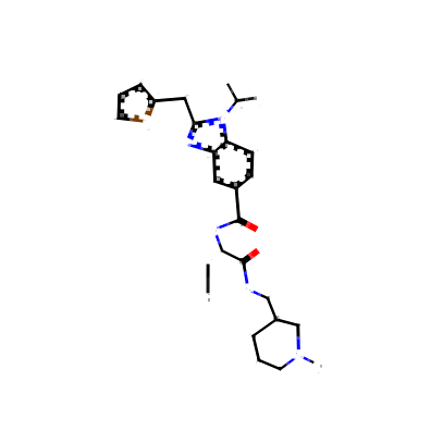 CCCN1CCCC(CNC(=O)[C@H](CC(C)C)NC(=O)c2ccc3c(c2)nc(Cc2cccs2)n3C(CC)CC)C1